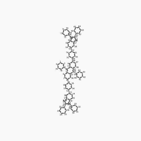 c1ccc(-c2c3ccc(-c4ccc(-c5ccc6c(c5)nc(-c5ccccc5)n6-c5ccccc5)cc4)cc3c(-c3ccccc3)c3ccc(-c4ccc(-c5ccc6c(c5)nc(-c5ccccc5)n6-c5ccccc5)cc4)cc23)cc1